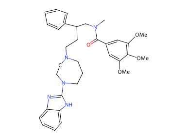 COc1cc(C(=O)N(C)CC(CCN2CCCN(c3nc4ccccc4[nH]3)CC2)c2ccccc2)cc(OC)c1OC